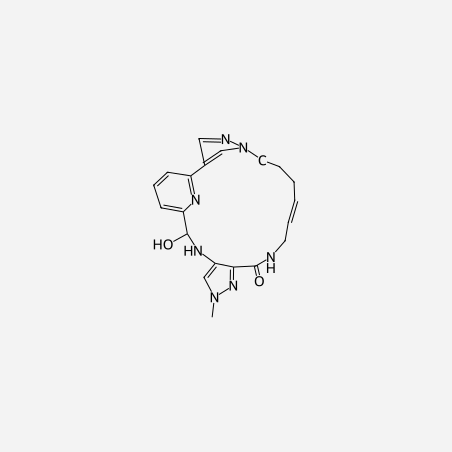 Cn1cc2c(n1)C(=O)NC/C=C/CCCn1cc(cn1)-c1cccc(n1)C(O)N2